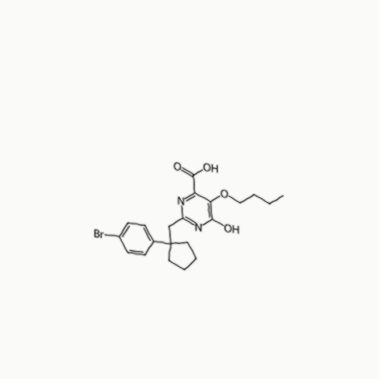 CCCCOc1c(O)nc(CC2(c3ccc(Br)cc3)CCCC2)nc1C(=O)O